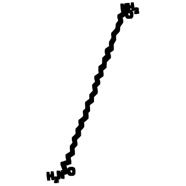 NC(=O)CCCCCCCC=CC=CC=CCCCCCCCCCC=CC=CC=CCCCCCCCC(N)=O